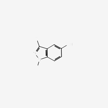 Bc1nn(C)c2ccc(C)cc12